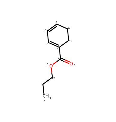 CC[CH]OC(=O)C1=CC=CCC1